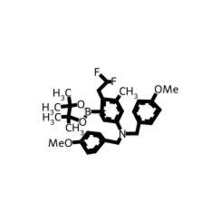 COc1ccc(CN(Cc2ccc(OC)cc2)c2cc(C)c(CC(F)F)c(B3OC(C)(C)C(C)(C)O3)c2)cc1